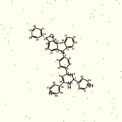 C1=CC(C2N=C(c3ccc(-n4c5ccccc5c5c6c(ccc54)[C@H](c4ccccc4)O6)cc3)C=C(c3ccncc3)N2)=CCN1